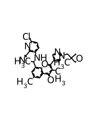 Cc1cc(C(C)Nc2ccc(Cl)nc2C#N)c2oc(-c3cnn(CC4(C)COC4)c3)c(C)c(=O)c2c1